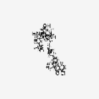 Cc1ncsc1-c1ccc([C@H](C)NC(=O)[C@@H]2C[C@@H](O)CN2C(=O)[C@@H](NC(=O)CCCCN2CCC(c3ccc4c(c3)C3(CCCCC3)c3nc(=O)c5c(Cl)cccc5n3-4)CC2)C(C)(C)C)cc1